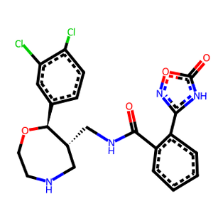 O=C(NC[C@@H]1CNCCO[C@H]1c1ccc(Cl)c(Cl)c1)c1ccccc1-c1noc(=O)[nH]1